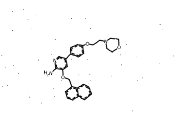 Nc1ncc(-c2ccc(OCCN3CCOCC3)cc2)cc1OCc1cccc2ccccc12